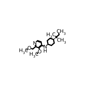 CCC(C)(C)[C@H]1CC[C@@H](Nc2ccnc(COC)c2OC)CC1